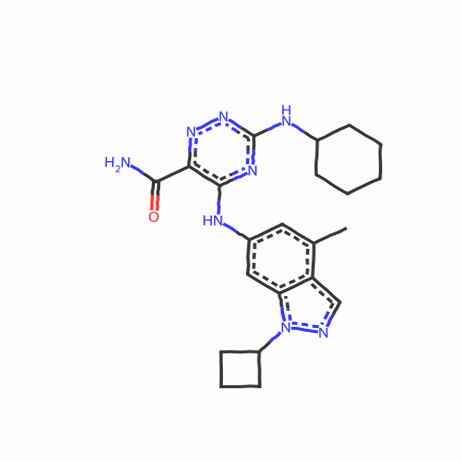 Cc1cc(Nc2nc(NC3CCCCC3)nnc2C(N)=O)cc2c1cnn2C1CCC1